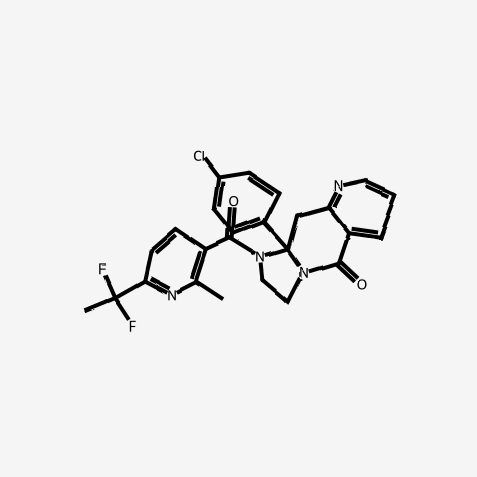 Cc1nc(C(C)(F)F)ccc1C(=O)N1CCN2C(=O)c3cccnc3CC12c1ccc(Cl)cc1